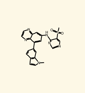 Cn1ccc2ccc(-c3cc(Nc4ncncc4S(C)(=O)=O)cc4nccnc34)cc21